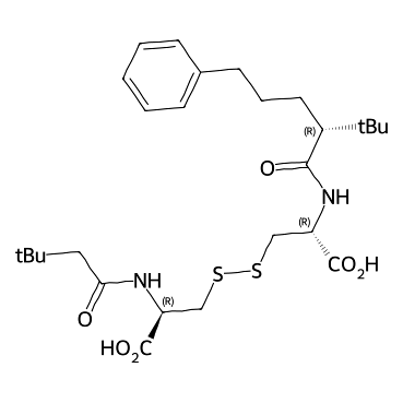 CC(C)(C)CC(=O)N[C@@H](CSSC[C@H](NC(=O)[C@H](CCCc1ccccc1)C(C)(C)C)C(=O)O)C(=O)O